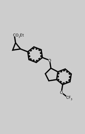 CCOC(=O)C1CC1c1ccc(OC2CCc3c(OC(F)(F)F)cccc32)cc1